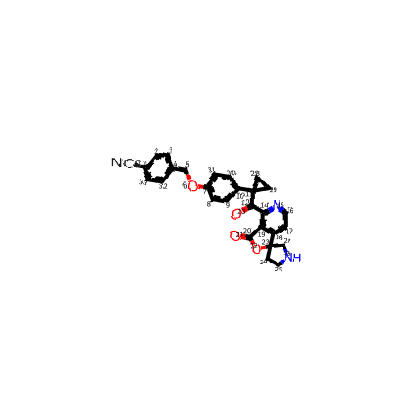 N#Cc1ccc(COc2ccc(C3(C(=O)c4nccc5c4C(=O)OC54CCNC4)CC3)cc2)cc1